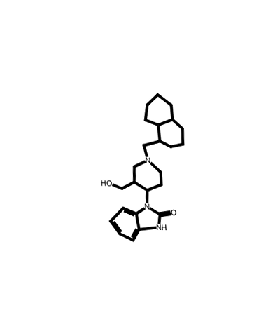 O=c1[nH]c2ccccc2n1C1CCN(CC2CCCC3CCCCC32)CC1CO